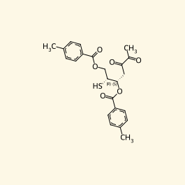 CC(=O)C(=O)C[C@H](OC(=O)c1ccc(C)cc1)[C@H](S)COC(=O)c1ccc(C)cc1